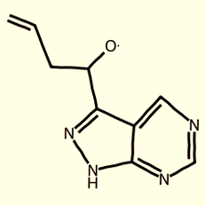 C=CCC([O])c1n[nH]c2ncncc12